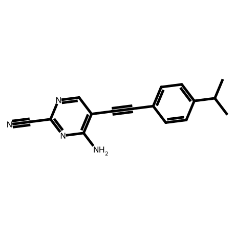 CC(C)c1ccc(C#Cc2cnc(C#N)nc2N)cc1